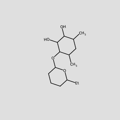 CCC1CCCC(OC2C(C)CC(C)C(O)C2O)O1